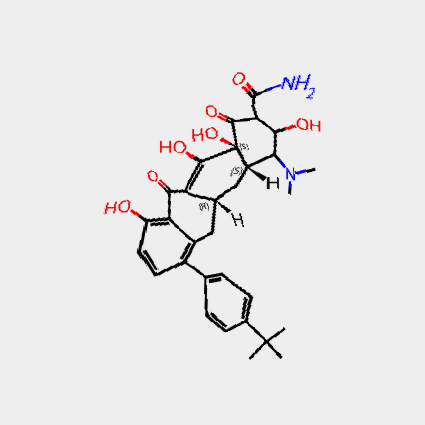 CN(C)C1C(O)C(C(N)=O)C(=O)[C@@]2(O)C(O)=C3C(=O)c4c(O)ccc(-c5ccc(C(C)(C)C)cc5)c4C[C@H]3C[C@@H]12